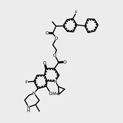 COc1c(N2CCNC(C)C2)c(F)cc2c(=O)c(C(=O)OCCOC(=O)C(C)c3ccc(-c4ccccc4)c(F)c3)cn(C3CC3)c12